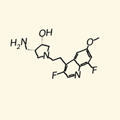 COc1cc(F)c2ncc(F)c(CCN3C[C@H](CN)[C@H](O)C3)c2c1